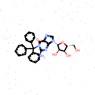 Nc1nc2c(ncn2[C@@H]2O[C@H](CO)[C@@H](O)[C@H]2O)c(=O)n1C(c1ccccc1)(c1ccccc1)c1ccccc1